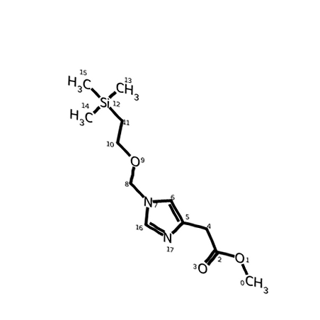 COC(=O)Cc1cn(COCC[Si](C)(C)C)cn1